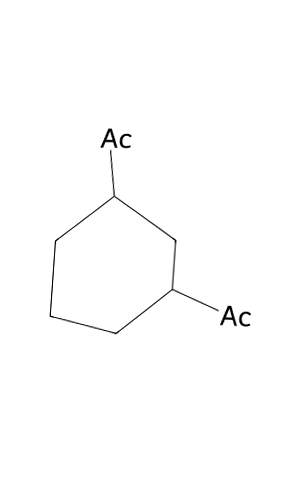 CC(=O)C1CCCC(C(C)=O)C1